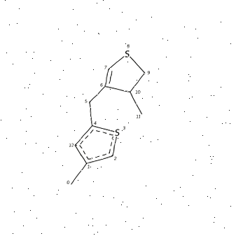 Cc1csc(CC2=CSCC2C)c1